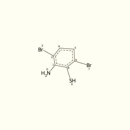 Nc1c(Br)ccc(Br)c1S